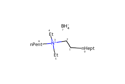 CCCCCCCCC[N+](CC)(CC)CCCCC.[BH4-]